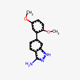 COc1ccc(OC)c(-c2ccc3c(N)n[nH]c3c2)c1